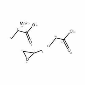 CC1CO1.CCC(=O)[O-].CCC(=O)[O-].[Mn+2]